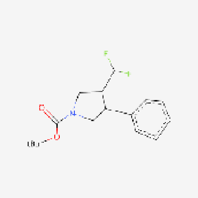 CC(C)(C)OC(=O)N1CC(c2ccccc2)C(C(F)F)C1